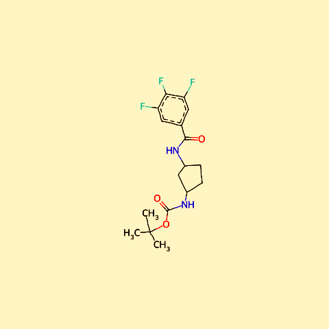 CC(C)(C)OC(=O)NC1CCC(NC(=O)c2cc(F)c(F)c(F)c2)C1